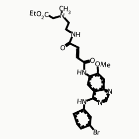 CCOC(=O)CN(C)CCNC(=O)C=CC(=O)Nc1cc2c(Nc3cccc(Br)c3)ncnc2cc1OC